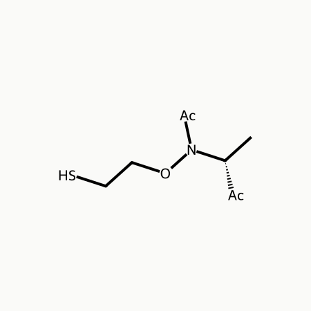 CC(=O)[C@@H](C)N(OCCS)C(C)=O